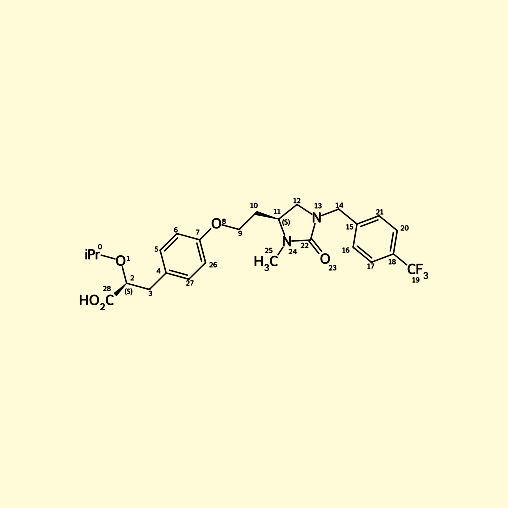 CC(C)O[C@@H](Cc1ccc(OCC[C@H]2CN(Cc3ccc(C(F)(F)F)cc3)C(=O)N2C)cc1)C(=O)O